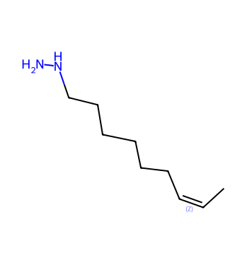 C/C=C\CCCCCCNN